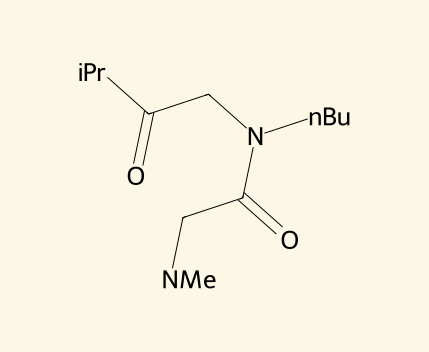 CCCCN(CC(=O)C(C)C)C(=O)CNC